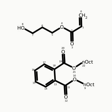 C=CC(=O)OCCCO.CCCCCCCCOC(=O)c1ccccc1C(=O)OCCCCCCCC